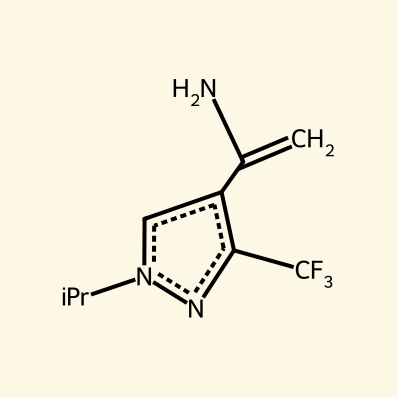 C=C(N)c1cn(C(C)C)nc1C(F)(F)F